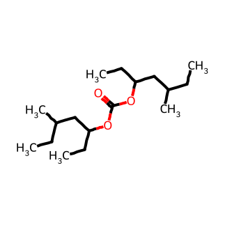 CCC(C)CC(CC)OC(=O)OC(CC)CC(C)CC